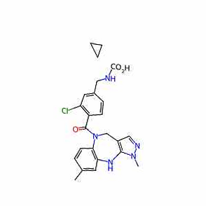 C1CC1.Cc1ccc2c(c1)Nc1c(cnn1C)CN2C(=O)c1ccc(CNC(=O)O)cc1Cl